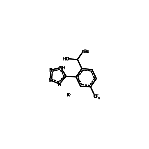 CCCCC(O)c1ccc(C(F)(F)F)cc1-c1nnn[nH]1.[K]